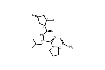 CC(C)C[C@H](NC(=O)[C@H]1CC(=O)C[C@H]1C)C(=O)N1CCC[C@H]1C(N)=O